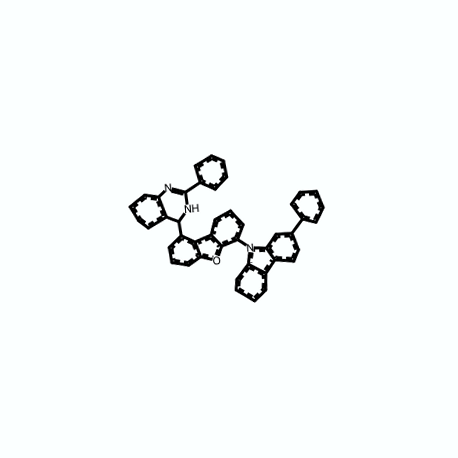 c1ccc(C2=Nc3ccccc3C(c3cccc4oc5c(-n6c7ccccc7c7ccc(-c8ccccc8)cc76)cccc5c34)N2)cc1